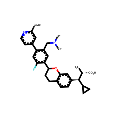 COc1cc(-c2cc(F)c(C3CCc4ccc([C@H](C5CC5)[C@H](C)C(=O)O)cc4O3)cc2CN(C(C)C)C(C)C)ccn1